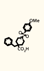 COc1ccc(S(=O)(=O)N2CCC(Cc3ccccc3)(C(=O)O)CC2)cc1